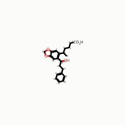 CC(CCCC(=O)O)c1cc2c(cc1C(O)CCc1ccccc1)OCO2